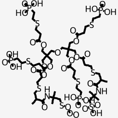 CC(CSCCC(=O)OCC(COCC(COC(=O)CCSCCP(=O)(O)O)(COC(=O)CCSCCP(=O)(O)O)COC(=O)CCSCC(C)C(=O)NC(C)(C)CS(=O)(=O)O)(COC(=O)CCSCCP(=O)(O)O)COC(=O)CCSCCP(=O)(O)O)C(=O)NC(C)(C)CSOOO